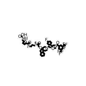 CN(CCCN(C)C(=O)c1ccc(CNC(=O)O)s1)C(=O)CO[C@H]1Cc2ccccc2C12CCN(CC[C@@]1(c3ccc(F)cc3)CN(C(=O)c3cc(C(F)(F)F)cc(C(F)(F)F)c3)CO1)CC2